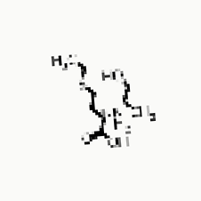 CCCO.CCSCC[C@H](N)C(=O)O